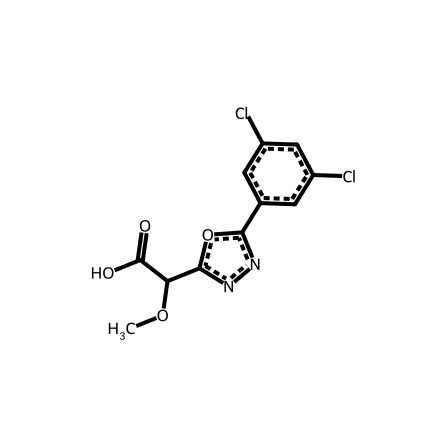 COC(C(=O)O)c1nnc(-c2cc(Cl)cc(Cl)c2)o1